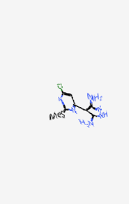 CSc1nc(Cl)cc(C2C(N)=NNC2N)n1